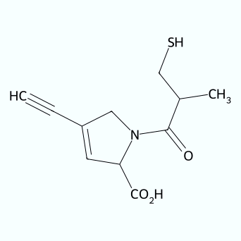 C#CC1=CC(C(=O)O)N(C(=O)C(C)CS)C1